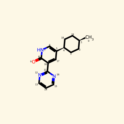 C[C@H]1CC[C@@H](c2c[nH]c(=O)c(-c3ncccn3)c2)CC1